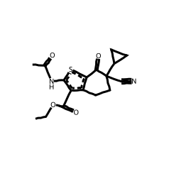 CCOC(=O)c1c(NC(C)=O)sc2c1CCC(C#N)(C1CC1)C2=O